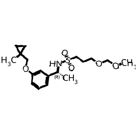 COCOCCCS(=O)(=O)N[C@H](C)c1cccc(OCC2(C)CC2)c1